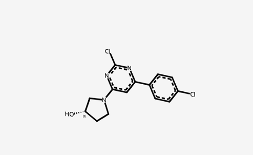 O[C@H]1CCN(c2cc(-c3ccc(Cl)cc3)nc(Cl)n2)C1